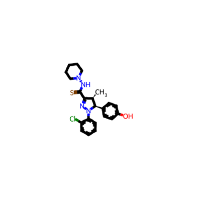 C[C@H]1C(C(=S)NN2CCCCC2)=NN(c2ccccc2Cl)[C@@H]1c1ccc(O)cc1